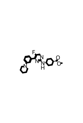 COC(=O)[C@H]1CC[C@H](Nc2ncc(F)c(-c3cccc(N4CCCCC4)c3)n2)CC1